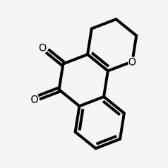 O=C1C(=O)c2ccccc2C2=C1CCCO2